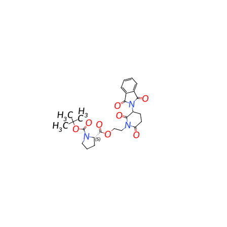 CC(C)(C)OC(=O)N1CCC[C@H]1C(=O)OCCN1C(=O)CCC(N2C(=O)c3ccccc3C2=O)C1=O